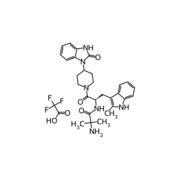 Cc1[nH]c2ccccc2c1C[C@@H](NC(=O)C(C)(C)N)C(=O)N1CCC(n2c(=O)[nH]c3ccccc32)CC1.O=C(O)C(F)(F)F